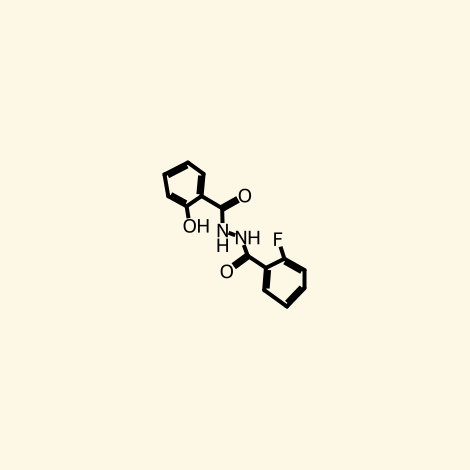 O=C(NNC(=O)c1ccccc1F)c1ccccc1O